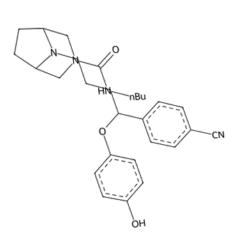 CCCCNC(=O)N1CC2CCC(C1)N2CCCC(Oc1ccc(O)cc1)c1ccc(C#N)cc1